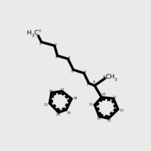 CCCCCCCCC(C)c1ccccc1.c1ccccc1